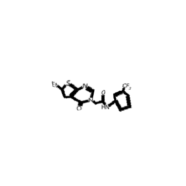 CCc1cc2c(=O)n(CC(=O)Nc3cccc(C(F)(F)F)c3)cnc2s1